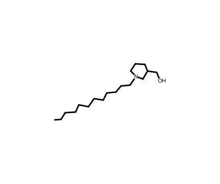 CCCCCCCCCCCCN1CCCC(CO)C1